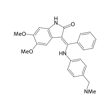 CNCc1ccc(NC(=C2C(=O)Nc3cc(OC)c(OC)cc32)c2ccccc2)cc1